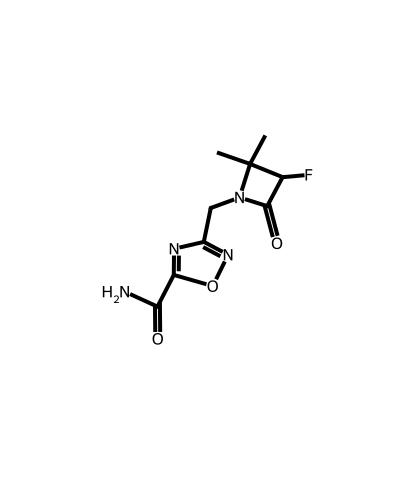 CC1(C)C(F)C(=O)N1Cc1noc(C(N)=O)n1